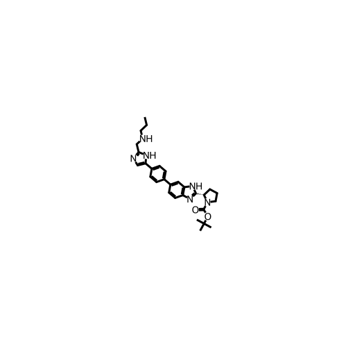 CCCNCc1ncc(-c2ccc(-c3ccc4nc([C@@H]5CCCN5C(=O)OC(C)(C)C)[nH]c4c3)cc2)[nH]1